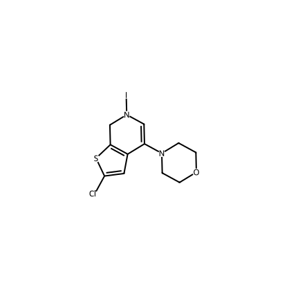 Clc1cc2c(s1)CN(I)C=C2N1CCOCC1